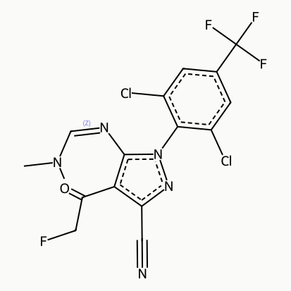 CN(C)/C=N\c1c(C(=O)CF)c(C#N)nn1-c1c(Cl)cc(C(F)(F)F)cc1Cl